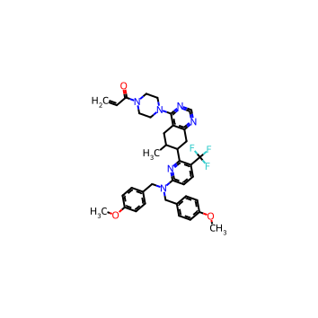 C=CC(=O)N1CCN(c2ncnc3c2CC(C)C(c2nc(N(Cc4ccc(OC)cc4)Cc4ccc(OC)cc4)ccc2C(F)(F)F)C3)CC1